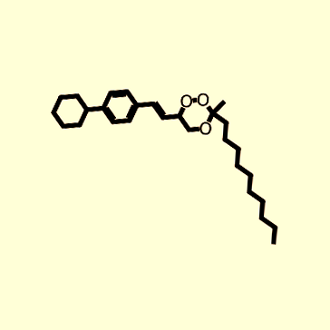 CCCCCCCCCCC1(C)OCC(C=Cc2ccc(C3CCCCC3)cc2)OO1